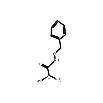 CC(C)[C@H](N)C(=O)NOCc1ccccc1